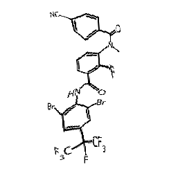 CN(C(=O)c1ccc(C#N)cc1)c1cccc(C(=O)Nc2c(Br)cc(C(F)(C(F)(F)F)C(F)(F)F)cc2Br)c1F